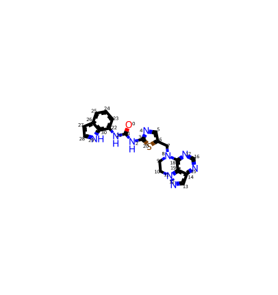 O=C(Nc1ncc(CN2CCn3ncc4ncnc2c43)s1)Nc1cccc2cc[nH]c12